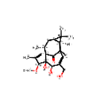 CC1=C[C@]23C(=O)[C@@H](C=C(CO)[C@@H](O)[C@]2(O)[C@H]1OC=O)[C@H]1C(C[C@H]3C)C1(C)C